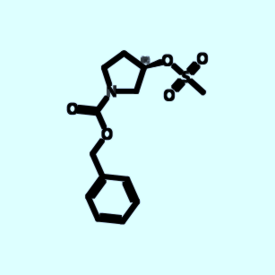 CS(=O)(=O)O[C@@H]1CCN(C(=O)OCc2ccccc2)C1